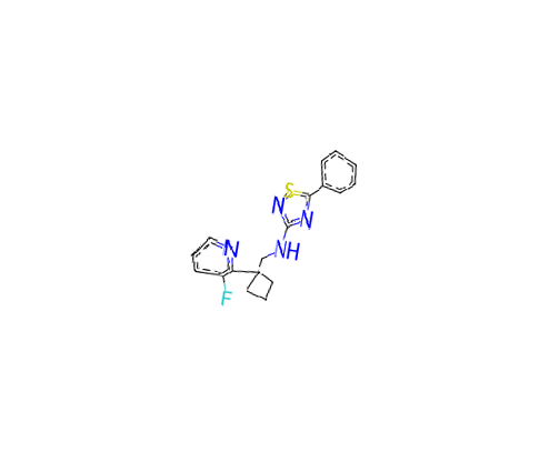 Fc1cccnc1C1(CNc2nsc(-c3ccccc3)n2)CCC1